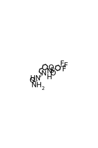 NC(=O)CNCc1ccc2cccc(NS(=O)(=O)c3ccc(C(F)(F)F)cc3)c2n1